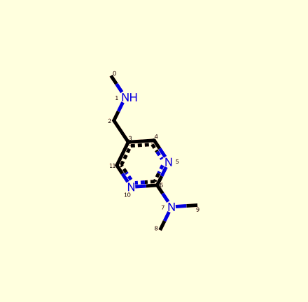 CNCc1cnc(N(C)C)nc1